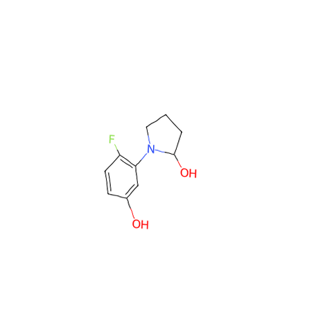 Oc1ccc(F)c(N2CCCC2O)c1